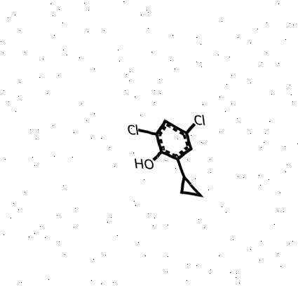 Oc1c(Cl)cc(Cl)cc1C1CC1